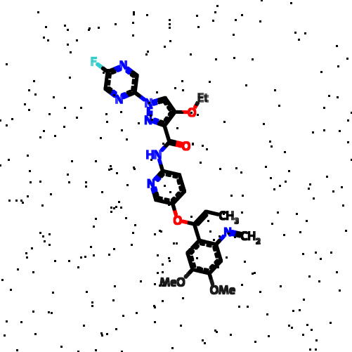 C=Nc1cc(OC)c(OC)cc1/C(=C\C)Oc1ccc(NC(=O)c2nn(-c3cnc(F)cn3)cc2OCC)nc1